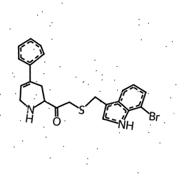 O=C(CSCc1c[nH]c2c(Br)cccc12)C1CC(c2ccccc2)=CCN1